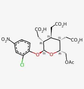 CC(=O)OC[C@@H]1O[C@@H](Oc2ccc([N+](=O)[O-])cc2Cl)[C@H](CC(=O)O)[C@@H](CC(=O)O)[C@@H]1CC(=O)O